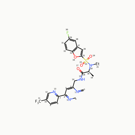 C=N/C(=C\C(=N/C)c1ccc(C(F)(F)F)cn1)CNC(=O)[C@H](C)N(CC)S(=O)(=O)c1cc2cc(F)ccc2o1